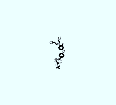 Cc1cc(Oc2ccc(C(=O)N[C@@H](C)C(=O)OC(C)(C)C)cc2)ccc1N(CCCl)CCCl